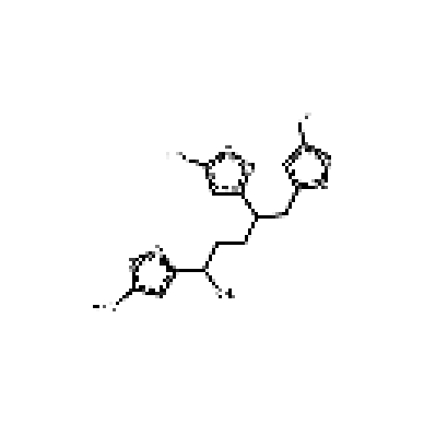 COc1cc(C(C)CCC(Cc2cc(C(C)C)no2)c2cc(C)on2)on1